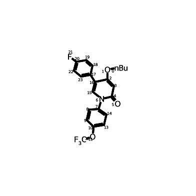 CCCCOc1cc(=O)n(-c2ccc(OC(F)(F)F)cc2)cc1-c1ccc(F)cc1